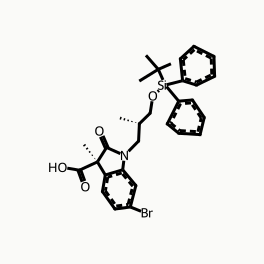 C[C@H](CO[Si](c1ccccc1)(c1ccccc1)C(C)(C)C)CN1C(=O)[C@](C)(C(=O)O)c2ccc(Br)cc21